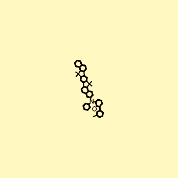 Cc1cccc2c1oc1c(N(c3ccccc3)c3ccc4c5c(ccc4c3)-c3cc4c(cc3C5(C)C)-c3ccc5ccccc5c3C4(C)C)cccc12